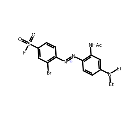 CCN(CC)c1ccc(/N=N/c2ccc(S(=O)(=O)F)cc2Br)c(NC(C)=O)c1